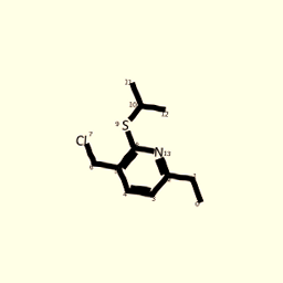 CCc1ccc(CCl)c(SC(C)C)n1